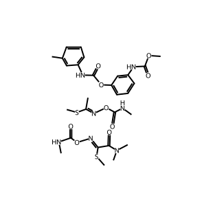 CNC(=O)O/N=C(\C)SC.CNC(=O)ON=C(SC)C(=O)N(C)C.COC(=O)Nc1cccc(OC(=O)Nc2cccc(C)c2)c1